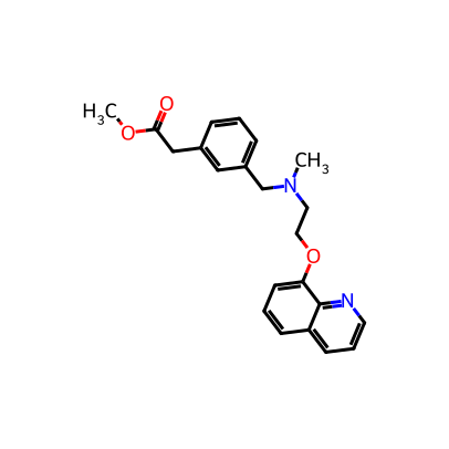 COC(=O)Cc1cccc(CN(C)CCOc2cccc3cccnc23)c1